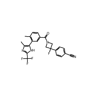 Cc1ccc(C(=O)N2CC(F)(c3ccc(C#N)cc3)C2)cc1-c1[nH]c(C(F)(F)F)nc1C